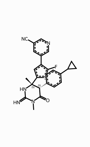 CN1C(=N)N[C@](C)(c2cc(-c3cncc(C#N)c3)c(F)s2)[C@H](c2ccc(C3CC3)cc2)C1=O